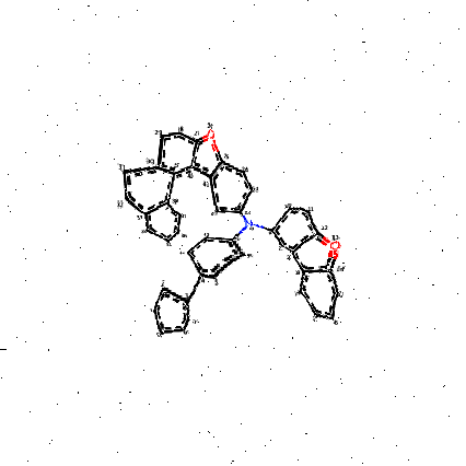 c1ccc(-c2ccc(N(c3ccc4oc5ccccc5c4c3)c3ccc4oc5ccc6ccc7ccccc7c6c5c4c3)cc2)cc1